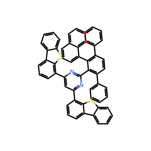 c1ccc(-c2ccc(-c3ccccc3)c(-c3cccc4ccccc34)c2-c2nc(-c3cccc4c3sc3ccccc34)cc(-c3cccc4c3sc3ccccc34)n2)cc1